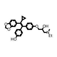 CCN(C)CC(O)COc1ccc(C(=C(c2ccc3c(c2)OCO3)C2CC2)c2ccc(O)cc2)cc1